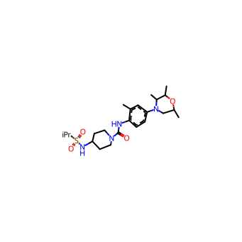 Cc1cc(N2CC(C)OC(C)C2C)ccc1NC(=O)N1CCC(NS(=O)(=O)C(C)C)CC1